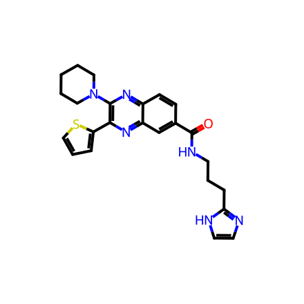 O=C(NCCCc1ncc[nH]1)c1ccc2nc(N3CCCCC3)c(-c3cccs3)nc2c1